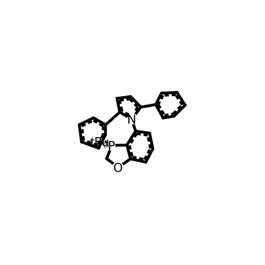 CC(C)(C)[P@@]1COc2cccc(-n3c(-c4ccccc4)ccc3-c3ccccc3)c21